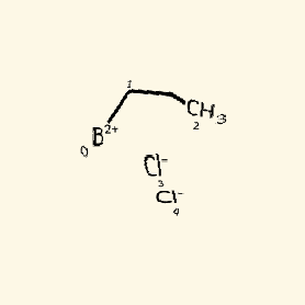 [B+2]CC.[Cl-].[Cl-]